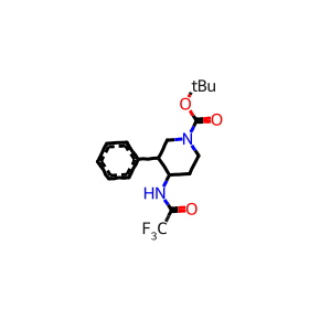 CC(C)(C)OC(=O)N1CCC(NC(=O)C(F)(F)F)C(c2ccccc2)C1